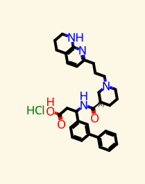 Cl.O=C(O)CC(NC(=O)[C@@H]1CCCN(CCCc2ccc3c(n2)NCCC3)C1)c1cccc(-c2ccccc2)c1